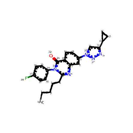 CC(=O)CCCCc1nc2cc(-n3cc(C4CC4)nn3)ccc2c(=O)n1-c1ccc(F)cc1